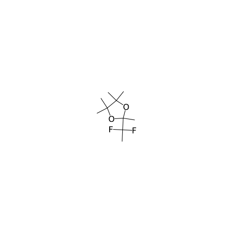 CC(F)(F)C1(C)OC(C)(C)C(C)(C)O1